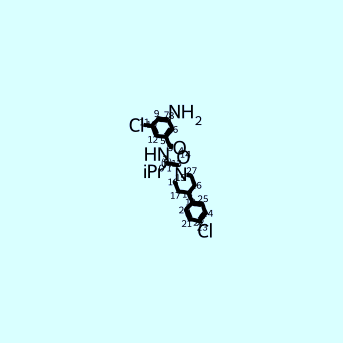 CC(C)[C@@H](NC(=O)c1cc(N)cc(Cl)c1)C(=O)N1CCC(c2ccc(Cl)cc2)CC1